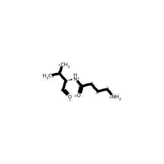 CC(C)[C@@H]([C]=O)NC(=O)CCCN